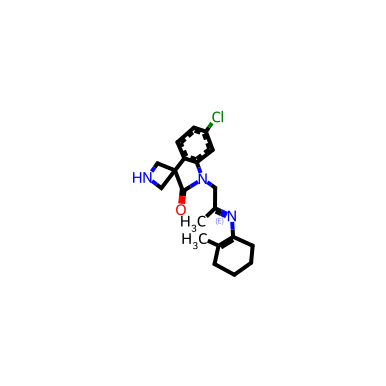 CC1=C(/N=C(\C)CN2C(=O)C3(CNC3)c3ccc(Cl)cc32)CCCC1